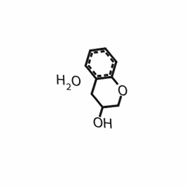 O.OC1COc2ccccc2C1